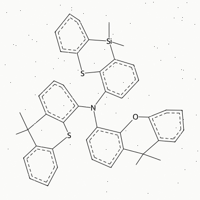 CC1(C)c2ccccc2Oc2c(N(c3cccc4c3Sc3ccccc3C4(C)C)c3cccc4c3Sc3ccccc3[Si]4(C)C)cccc21